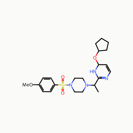 COc1ccc(S(=O)(=O)N2CCN(C(C)C3=NC=CC(OC4CCCC4)N3)CC2)cc1